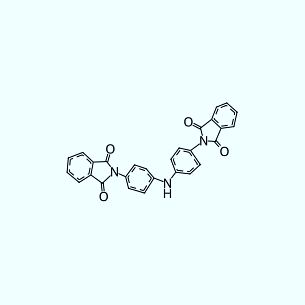 O=C1c2ccccc2C(=O)N1c1ccc(Nc2ccc(N3C(=O)c4ccccc4C3=O)cc2)cc1